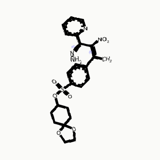 C/C(=C(/C(=N\N)c1ccccn1)[N+](=O)[O-])c1ccc(S(=O)(=O)OC2CCC3(CC2)OCCO3)cc1